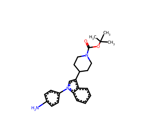 CC(C)(C)OC(=O)N1CCC(c2cn(-c3ccc(N)cc3)c3ccccc23)CC1